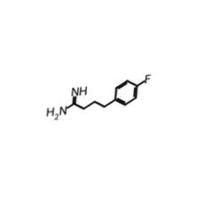 N=C(N)CCCc1ccc(F)cc1